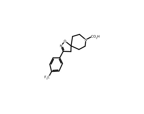 O=C(O)N1CCC2(CC1)CC(c1ccc(C(F)(F)F)cc1)=NO2